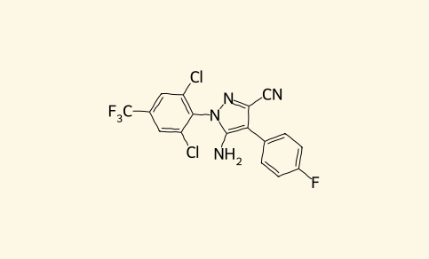 N#Cc1nn(-c2c(Cl)cc(C(F)(F)F)cc2Cl)c(N)c1-c1ccc(F)cc1